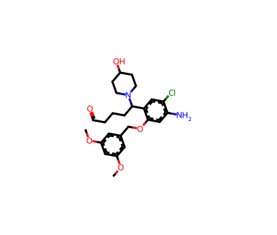 COc1cc(COc2cc(N)c(Cl)cc2C(CCCC=O)N2CCC(O)CC2)cc(OC)c1